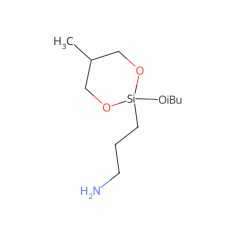 CC(C)CO[Si]1(CCCN)OCC(C)CO1